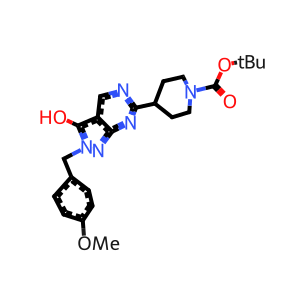 COc1ccc(Cn2nc3nc(C4CCN(C(=O)OC(C)(C)C)CC4)ncc3c2O)cc1